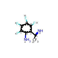 N=C(c1c(N)c(F)c(F)c(F)c1F)C(F)(F)F